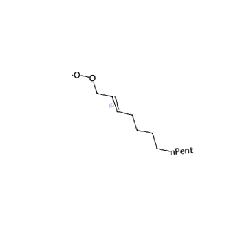 CCCCCCCCC/C=C/CO[O]